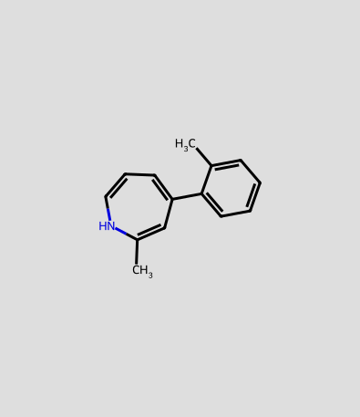 CC1=CC(c2ccccc2C)=CC=CN1